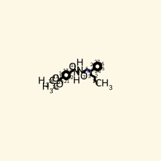 CCCC/C(=C\C(=O)NNC(=O)c1ccc(C(OC)OC)cc1)c1ccccc1